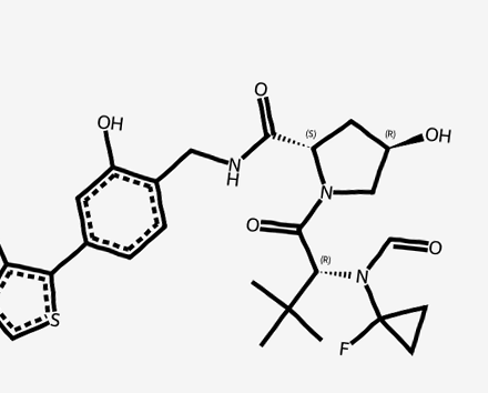 Cc1ncsc1-c1ccc(CNC(=O)[C@@H]2C[C@@H](O)CN2C(=O)[C@H](N(C=O)C2(F)CC2)C(C)(C)C)c(O)c1